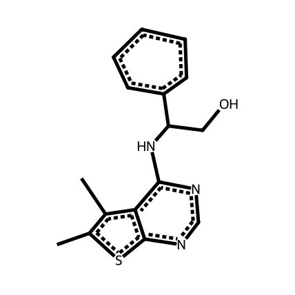 Cc1sc2ncnc(NC(CO)c3ccccc3)c2c1C